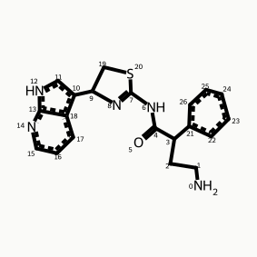 NCCC(C(=O)NC1=NC(c2c[nH]c3ncccc23)CS1)c1ccccc1